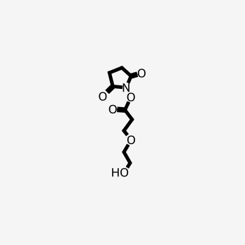 O=C(CCOCCO)ON1C(=O)CCC1=O